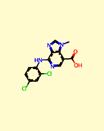 Cn1cnc2c(Nc3ccc(Cl)cc3Cl)ncc(C(=O)O)c21